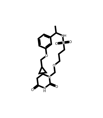 CC(NS(=O)(=O)CCCOCN1CCC(=O)NC1=O)c1cccc(OCC2CC2)c1